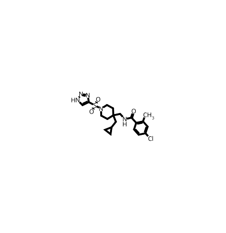 Cc1cc(Cl)ccc1C(=O)NCC1(CC2CC2)CCN(S(=O)(=O)c2c[nH]nn2)CC1